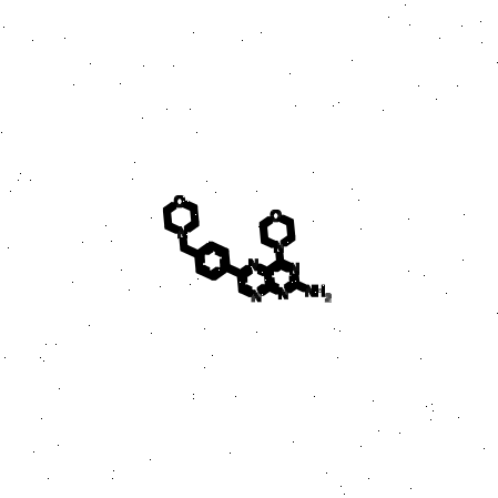 Nc1nc(N2CCOCC2)c2nc(-c3ccc(CN4CCOCC4)cc3)cnc2n1